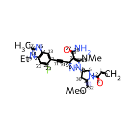 C=CC(=O)N1C[C@@H](n2nc(C#Cc3cc4nc(C)n(CC)c4cc3F)c(C(N)=O)c2NC)C/C1=C\OC